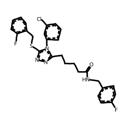 O=C(CCCCc1nnc(SCc2ccccc2F)n1-c1cccc(Cl)c1)NCc1ccc(F)cc1